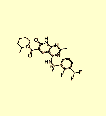 Cc1nc(N[C@H](C)c2cccc(C(F)F)c2F)c2cc(C(=O)N3CCCCC3C)c(=O)[nH]c2n1